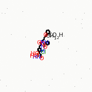 CC1(OCCCCNC(=O)C(Cc2ccc(C3CC(=O)NS3(O)O)c(Cl)c2)NS(=O)(=O)c2ccccc2)C=CC=CC1C(=O)O